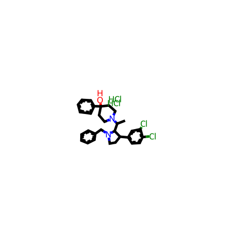 CC(C1C(c2ccc(Cl)c(Cl)c2)CCN1Cc1ccccc1)N1CCC(O)(c2ccccc2)CC1.Cl.Cl